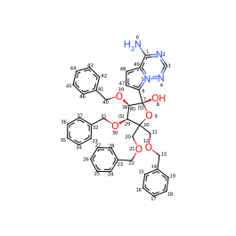 Nc1ncnn2c([C@]3(O)OC(COCc4ccccc4)(COCc4ccccc4)[C@@H](OCc4ccccc4)[C@H]3OCc3ccccc3)ccc12